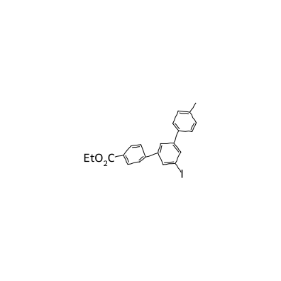 CCOC(=O)c1ccc(-c2cc(I)cc(-c3ccc(C)cc3)c2)cc1